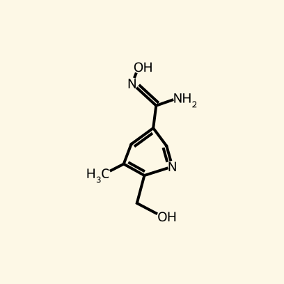 Cc1cc(C(N)=NO)cnc1CO